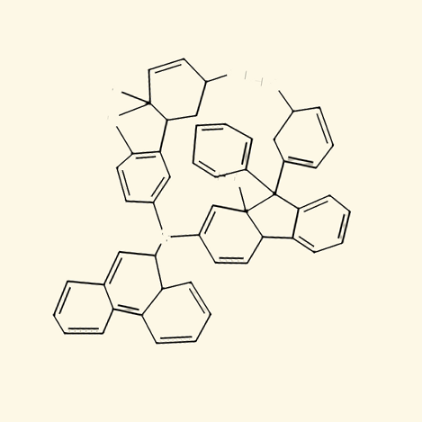 CC1C=CC=C(C2(c3ccccc3)c3ccccc3C3C=CC(N(c4ccc5c(c4)C4CC(C)C=CC4(C)O5)C4C=c5ccccc5=C5C=CC=CC54)=CC32C)C1